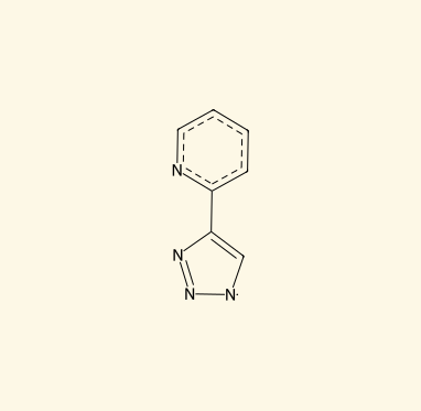 C1=C(c2ccccn2)N=N[N]1